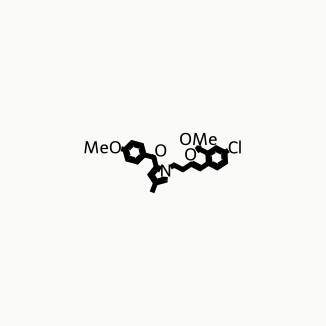 COC(=O)c1cc(Cl)ccc1/C=C/CCn1cc(C)cc1C(=O)c1ccc(OC)cc1